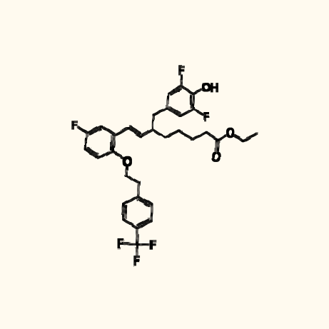 CCOC(=O)CCCCC(/C=C/c1cc(F)ccc1OCCc1ccc(C(F)(F)F)cc1)Cc1cc(F)c(O)c(F)c1